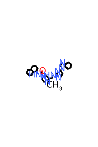 CN1CCN(C(=O)Nc2cccc3ccccc23)CC1CNc1nccc(-n2cnc3ccccc32)n1